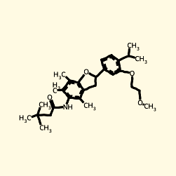 COCCOc1cc(C2Cc3c(C)c(NC(=O)CC(C)(C)C)c(C)c(C)c3O2)ccc1C(C)C